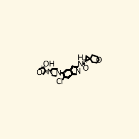 O=C(Nc1cc2cc(N3CCN([C@@H]4COC[C@@H]4O)CC3)c(Cl)cc2cn1)[C@@H]1CC12CCOCC2